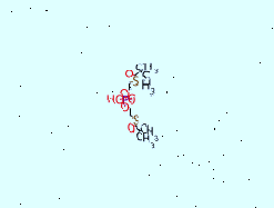 CC(C)C(=O)SCCOP(=O)(O)OCCSC(=O)C(C)C